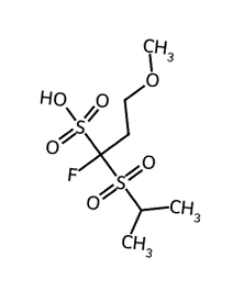 COCCC(F)(S(=O)(=O)O)S(=O)(=O)C(C)C